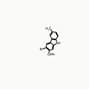 COc1cc2[nH]c3ccc(C)cc3c2cc1Br